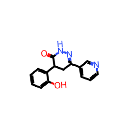 O=C1NN=C(c2cccnc2)CC1c1ccccc1O